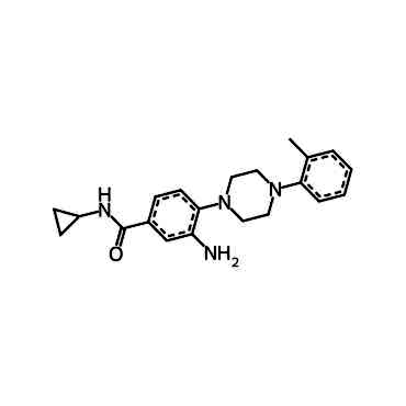 Cc1ccccc1N1CCN(c2ccc(C(=O)NC3CC3)cc2N)CC1